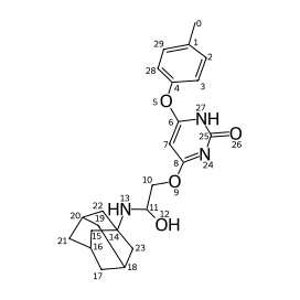 Cc1ccc(Oc2cc(OCC(O)NC34CC5CC(CC(C5)C3)C4)nc(=O)[nH]2)cc1